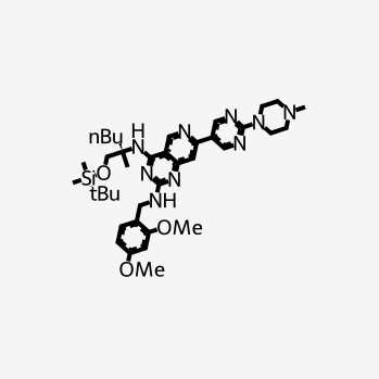 CCCC[C@](C)(CO[Si](C)(C)C(C)(C)C)Nc1nc(NCc2ccc(OC)cc2OC)nc2cc(-c3cnc(N4CCN(C)CC4)nc3)ncc12